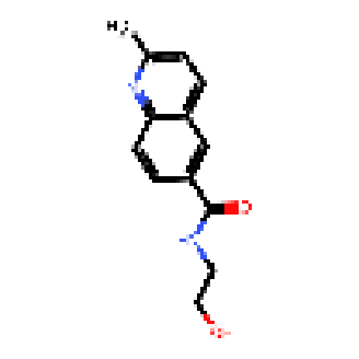 Cc1ccc2cc(C(=O)NCCO)ccc2n1